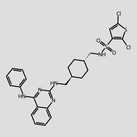 O=S(=O)(NC[C@H]1CC[C@H](CNc2nc(Nc3ccccc3)c3ccccc3n2)CC1)c1cc(Cl)sc1Cl